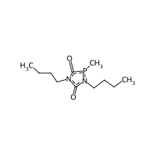 CCCCn1c(=O)n(CCCC)p(C)c1=O